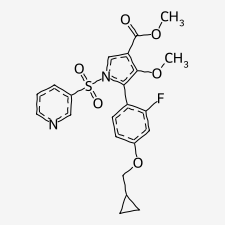 COC(=O)c1cn(S(=O)(=O)c2cccnc2)c(-c2ccc(OCC3CC3)cc2F)c1OC